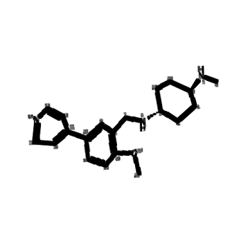 CN[C@H]1CC[C@H](NCc2cc(-c3ccncc3)ccc2OC)CC1